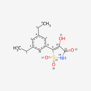 CCc1cc(CC)cc(C2=C(O)C(=O)NS2(=O)=O)c1